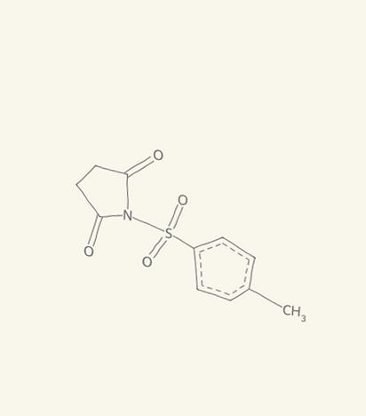 Cc1ccc(S(=O)(=O)N2C(=O)CCC2=O)cc1